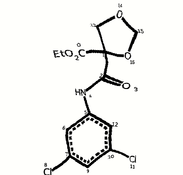 CCOC(=O)C1(C(=O)Nc2cc(Cl)cc(Cl)c2)COCO1